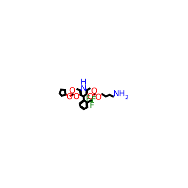 CC1=C(OC(=O)OCCCCN)C(c2ccccc2C(F)(F)F)C(OC(=O)OC2CCCC2)=C(C)N1